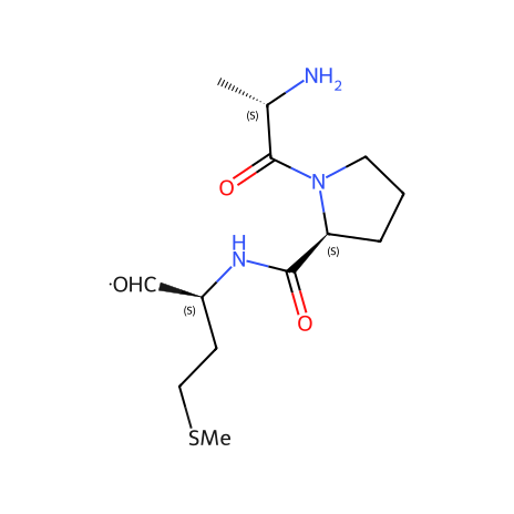 CSCC[C@@H]([C]=O)NC(=O)[C@@H]1CCCN1C(=O)[C@H](C)N